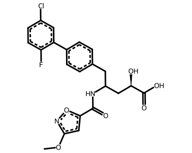 COc1cc(C(=O)NC(Cc2ccc(-c3cc(Cl)ccc3F)cc2)C[C@@H](O)C(=O)O)on1